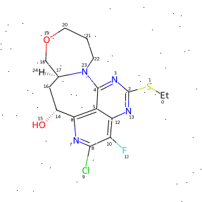 CCSc1nc2c3c(nc(Cl)c(F)c3n1)[C@H](O)C[C@H]1COCCCN21